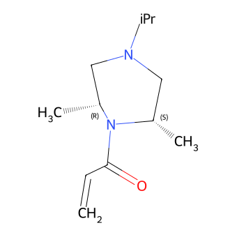 C=CC(=O)N1[C@H](C)CN(C(C)C)C[C@@H]1C